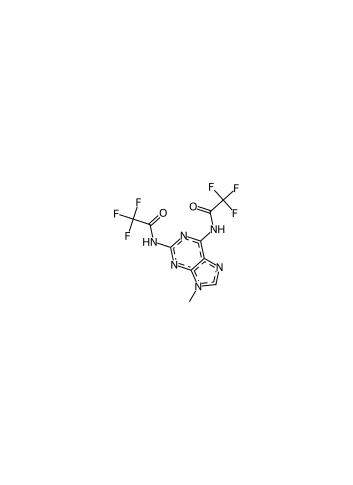 Cn1cnc2c(NC(=O)C(F)(F)F)nc(NC(=O)C(F)(F)F)nc21